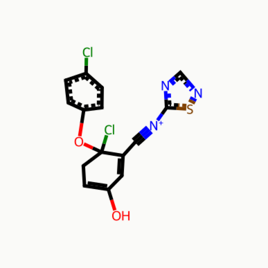 OC1=CCC(Cl)(Oc2ccc(Cl)cc2)C(C#[N+]c2ncns2)=C1